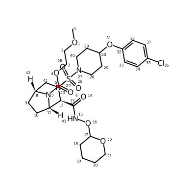 COCCOC(=O)N1[C@@H]2CC[C@H]1[C@H](C(=O)NOC1CCCCO1)N(S(=O)(=O)N1CCC(Oc3ccc(Cl)cc3)CC1)C2